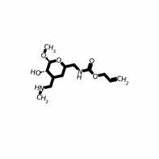 C=CCOC(=O)NCC1CC(CNC)[C@H](O)[C@@H](OC)O1